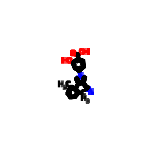 Cc1cccc(C)c1-c1cn(-c2ccc(C(=O)O)c(O)c2)cc1C#N